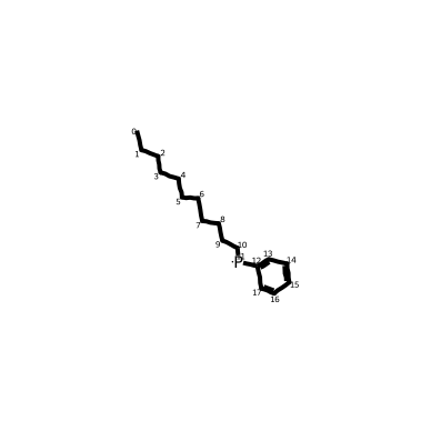 CCCCCCCCCCC[P]c1ccccc1